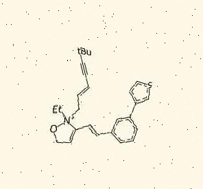 CC[N+]1(C/C=C/C#CC(C)(C)C)O[CH]C=C1/C=C/c1cccc(-c2ccsc2)c1